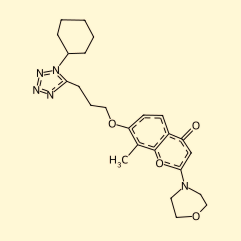 Cc1c(OCCCc2nnnn2C2CCCCC2)ccc2c(=O)cc(N3CCOCC3)oc12